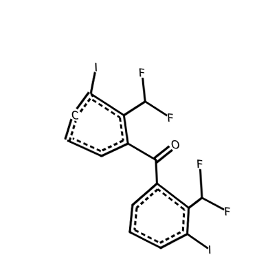 O=C(c1cccc(I)c1C(F)F)c1cccc(I)c1C(F)F